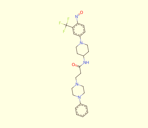 O=Nc1ccc(N2CCC(NC(=O)CCN3CCN(c4ccccc4)CC3)CC2)cc1C(F)(F)F